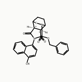 N#Cc1ccc(N2C(=O)[C@@H]3C4CCC(CN4C(=O)OCc4ccccc4)[C@@H]3C2=O)c2ccccc12